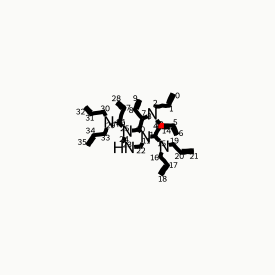 C=CCN(CC=C)C(C=C)C1N(C(C=C)N(CC=C)CC=C)CNCN1[C@@H](C=C)N(CC=C)CC=C